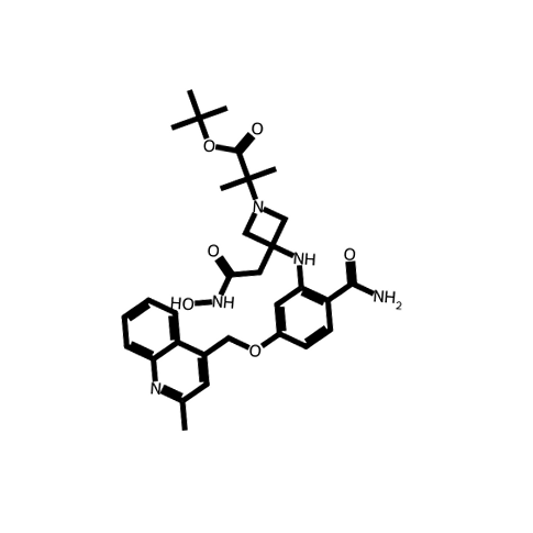 Cc1cc(COc2ccc(C(N)=O)c(NC3(CC(=O)NO)CN(C(C)(C)C(=O)OC(C)(C)C)C3)c2)c2ccccc2n1